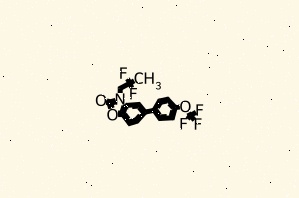 CC(F)(F)Cn1c(=O)oc2ccc(-c3ccc(OC(F)(F)F)cc3)cc21